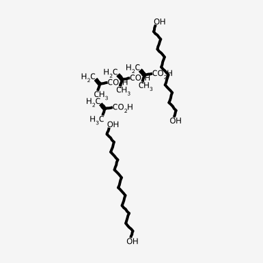 C=C(C)C(=O)O.C=C(C)C(=O)O.C=C(C)C(=O)O.C=C(C)C(=O)O.OCCCCCCCCCCCCO.OCCCCCCCCCCO